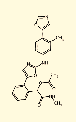 CNC(=O)C(OC(C)=O)c1ccccc1-c1cnc(Nc2ccc(-c3cnco3)c(C)c2)o1